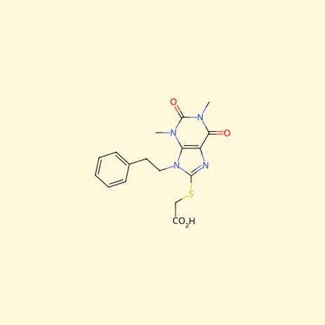 Cn1c(=O)c2nc(SCC(=O)O)n(CCc3ccccc3)c2n(C)c1=O